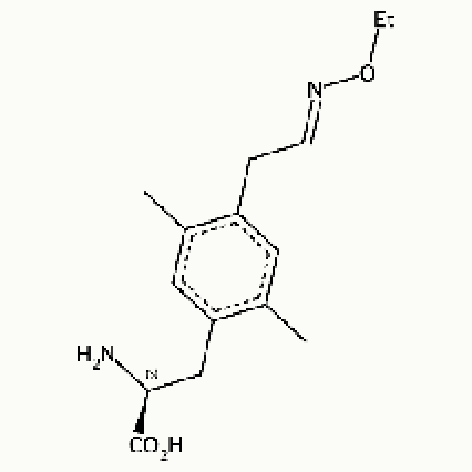 CCON=CCc1cc(C)c(C[C@H](N)C(=O)O)cc1C